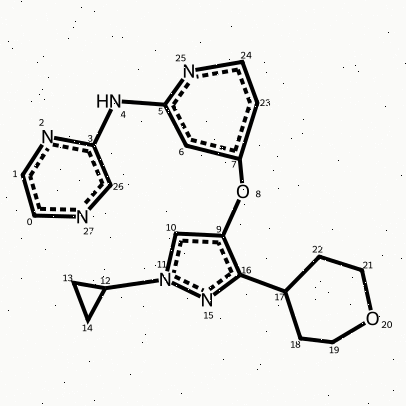 c1cnc(Nc2cc(Oc3cn(C4CC4)nc3C3CCOCC3)ccn2)cn1